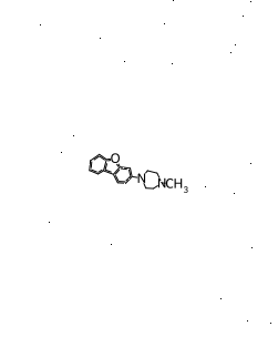 CN1CCN(c2ccc3c(c2)oc2ccccc23)CC1